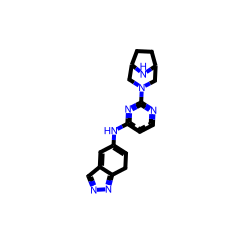 C1=NN=C2CC=C(Nc3ccnc(N4CC5CCC(C4)N5)n3)C=C12